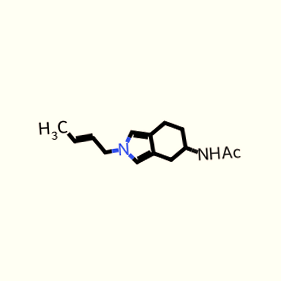 C/C=C/Cn1cc2c(c1)CC(NC(C)=O)CC2